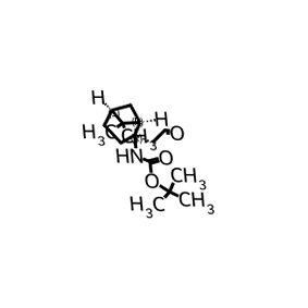 CC(C)(C)OC(=O)N[C@@]1(CC=O)CC[C@H]2C[C@@H]1C2(C)C